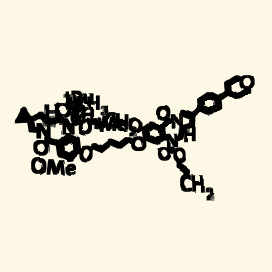 C=CCOC(=O)N1C[C@@H]2CC(c3ccc(C4CCOCC4)cc3)=CN2C(=O)c2cc(OC)c(OCCCCCOc3cc4c(cc3OC)C(=O)N3CC5(CC5)C[C@H]3C(O[Si](C)(C)C(C)(C)C)N4C(=O)OCC=C)cc21